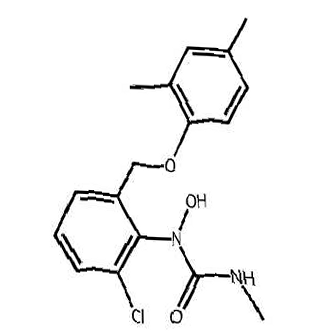 CNC(=O)N(O)c1c(Cl)cccc1COc1ccc(C)cc1C